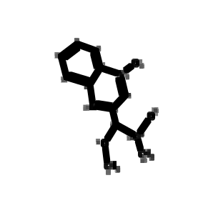 COC(c1c[n+]([O-])c2ccccc2n1)[O+](C)[O-]